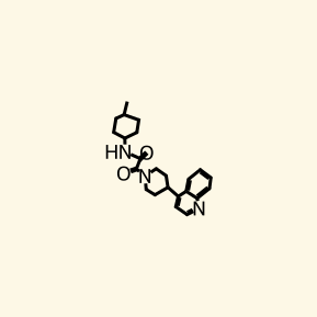 CC1CCC(NC(=O)C(=O)N2CCC(c3ccnc4ccccc34)CC2)CC1